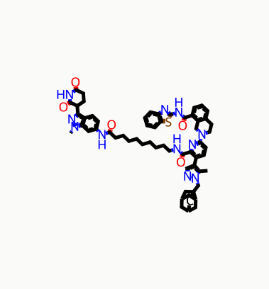 Cc1c(-c2ccc(N3CCc4cccc(C(=O)Nc5nc6ccccc6s5)c4C3)nc2C(=O)NCCCCCCCCCC(=O)Nc2ccc3c(C4CCC(=O)NC4=O)nn(C)c3c2)cnn1CC12CC3CC(CC1C3)C2